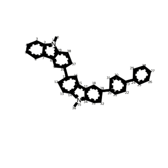 Cn1c2ccccc2c2cc(-c3ccc4c(c3)c3cc(-c5ccc(-c6ccccc6)cc5)ccc3n4C)ccc21